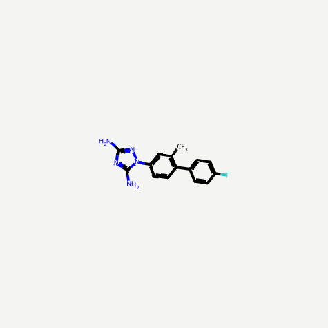 Nc1nc(N)n(-c2ccc(-c3ccc(F)cc3)c(C(F)(F)F)c2)n1